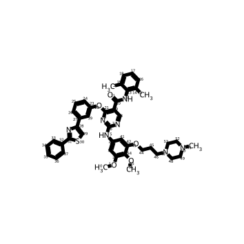 COc1cc(Nc2ncc(C(=O)Nc3c(C)cccc3C)c(Oc3cccc(-c4csc(-c5ccccc5)n4)c3)n2)cc(OCCCN2CCN(C)CC2)c1OC